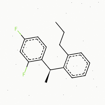 CCCc1ccccc1[C@@H](C)c1ccc(F)cc1F